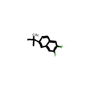 CC(=O)OC(C)(C)c1ccc2cc(F)c(F)cc2c1